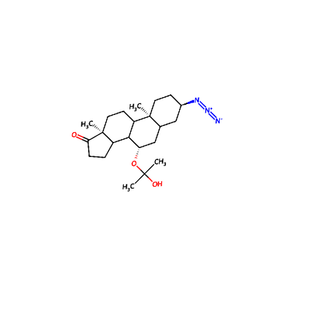 CC(C)(O)O[C@H]1CC2C[C@H](N=[N+]=[N-])CC[C@]2(C)C2CC[C@]3(C)C(=O)CCC3C21